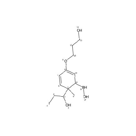 CC1(C(O)CI)C=CC(OCCCO)=CC1BO